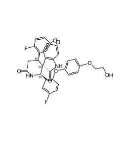 O=C1C[C@@H](c2cc(Cl)ccc2F)[C@]2(C(=O)Nc3cc(Cl)ccc32)[C@@H](c2cc(F)ccc2Oc2ccc(OCCO)cc2)N1